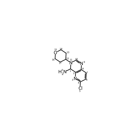 NC1c2nc(Cl)ccc2N=CN1C1CCOCC1